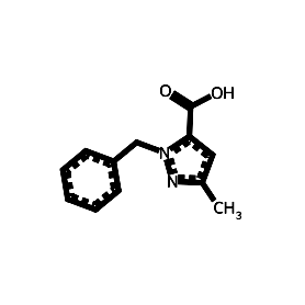 Cc1cc(C(=O)O)n(Cc2ccccc2)n1